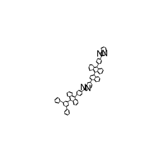 c1ccc(-c2cc(-c3ccccc3)cc(-c3c4ccccc4c(-c4ccc(-c5cn6ccc(-c7ccc(-c8c9ccccc9c(-c9ccc(-c%10cn%11ccccc%11n%10)cc9)c9ccccc89)c8ccccc78)cc6n5)cc4)c4ccccc34)c2)cc1